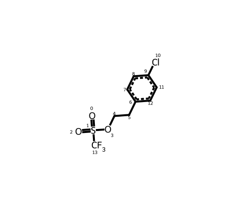 O=S(=O)(OCCc1ccc(Cl)cc1)C(F)(F)F